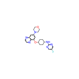 Fc1cnc(NC2CCC(Oc3cc(N4CCOCC4)cc4nccnc34)CC2)nc1